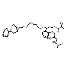 CC(=O)NCCCC(CCCCCCCN1CCN(c2ccccc2)CC1)c1ccccc1OCC(O)CNC(C)C